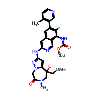 COCC1(O)CN(C)C(=O)Cn2nc(Nc3cc4cc(-c5cnccc5C)c(F)c(NC(=O)OC(C)(C)C)c4cn3)cc21